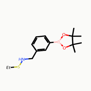 CCSNCc1cccc(B2OC(C)(C)C(C)(C)O2)c1